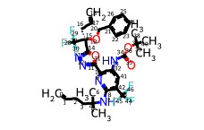 C=CCCC(C)(C)Nc1nc(-c2nnc([C@](CC=C)(OCc3ccccc3)C(F)(F)F)o2)c(NC(=O)OC(C)(C)C)cc1C(F)(F)F